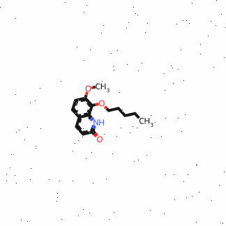 CCCCCOc1c(OC)ccc2ccc(=O)[nH]c12